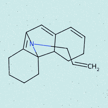 C=CCN1CC2=C3CCCCC31C1CCC=CC1=C2